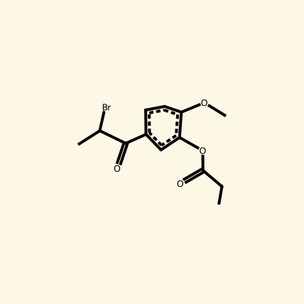 CCC(=O)Oc1cc(C(=O)C(C)Br)ccc1OC